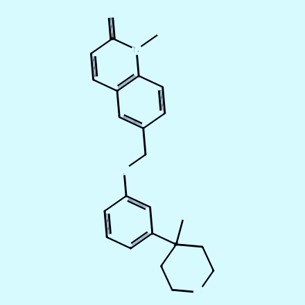 Cn1c(=O)ccc2cc(COc3cccc(C4(C)CCOCC4)c3)ccc21